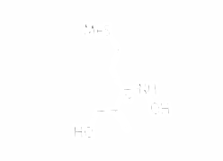 C=C(CO)[C@H](CCSC)NO